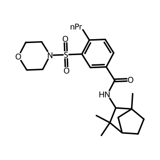 CCCc1ccc(C(=O)NC2C3(C)CCC(C3)C2(C)C)cc1S(=O)(=O)N1CCOCC1